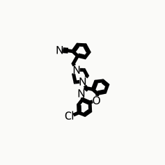 N#Cc1ccccc1CN1CCN(C2=Nc3cc(Cl)ccc3Oc3ccccc32)CC1